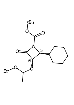 CCOC(C)O[C@H]1C(=O)N(C(=O)OC(C)(C)C)[C@H]1C1CCCCC1